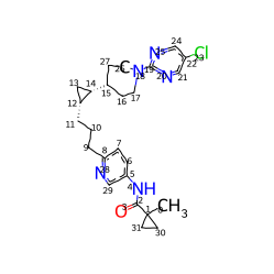 CC1(C(=O)Nc2ccc(CCC[C@@H]3C[C@@H]3C3CCN(c4ncc(Cl)cn4)CC3)nc2)CC1